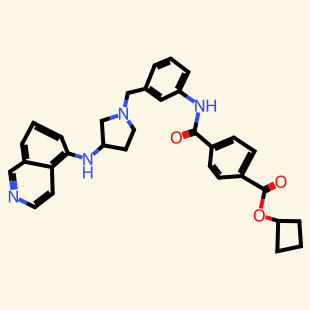 O=C(Nc1cccc(CN2CCC(Nc3cccc4cnccc34)C2)c1)c1ccc(C(=O)OC2CCC2)cc1